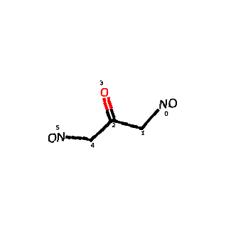 O=NCC(=O)CN=O